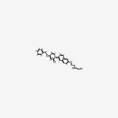 CCCNCCOc1ccc2cc(-n3ccc(OCc4ccccc4)cc3=O)ccc2n1